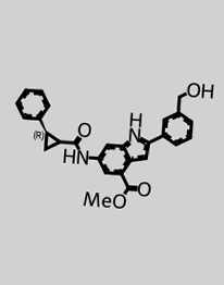 COC(=O)c1cc(NC(=O)C2C[C@H]2c2ccccc2)cc2[nH]c(-c3cccc(CO)c3)cc12